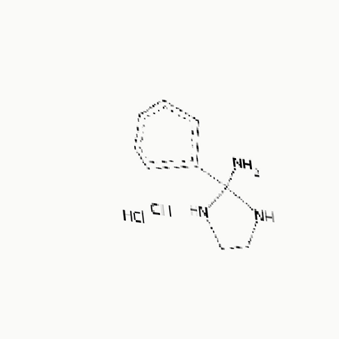 Cl.Cl.NC1(c2ccccc2)NCCN1